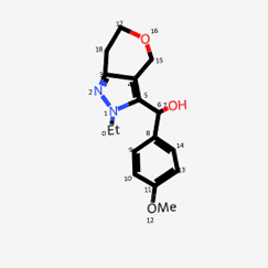 CCn1nc2c(c1C(O)c1ccc(OC)cc1)COCC2